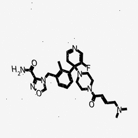 Cc1c(CN2CON=C2C(N)=O)cccc1C1(N2CCN(C(=O)C=CCN(C)C)CC2)CC=NC=C1F